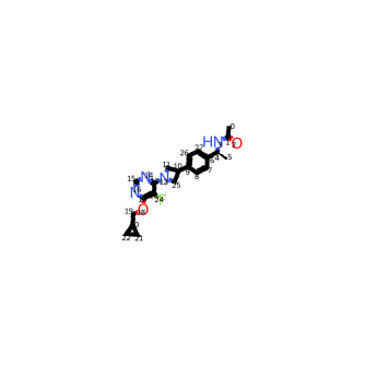 CC(=O)N[C@@H](C)c1ccc(C2CN(c3ncnc(OCC4CC4)c3F)C2)cc1